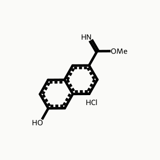 COC(=N)c1ccc2cc(O)ccc2c1.Cl